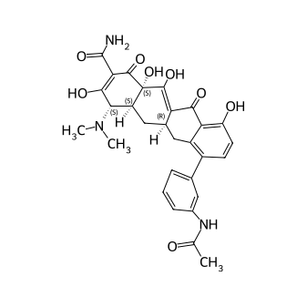 CC(=O)Nc1cccc(-c2ccc(O)c3c2C[C@H]2C[C@H]4[C@H](N(C)C)C(O)=C(C(N)=O)C(=O)[C@@]4(O)C(O)=C2C3=O)c1